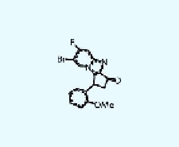 COc1ccccc1C1CC(=O)c2nc3cc(F)c(Br)cn3c21